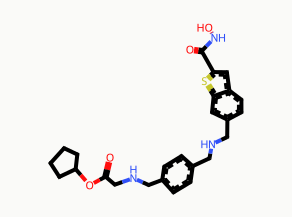 O=C(CNCc1ccc(CNCc2ccc3cc(C(=O)NO)sc3c2)cc1)OC1CCCC1